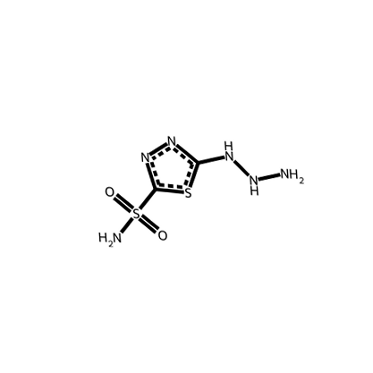 NNNc1nnc(S(N)(=O)=O)s1